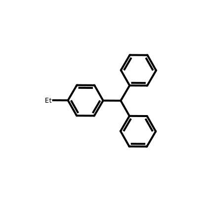 CCc1ccc([C](c2ccccc2)c2ccccc2)cc1